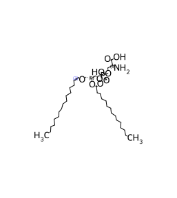 CCCCCCCCCCCCCC/C=C\OC[C@H](COP(=O)(O)OC[C@H](N)C(=O)O)OC(=O)CCCCCCCCCCCCCC